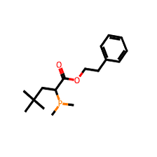 CP(C)C(CC(C)(C)C)C(=O)OCCc1ccccc1